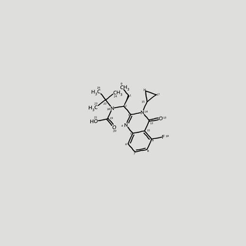 CC[C@@H](c1nc2cccc(F)c2c(=O)n1C1CC1)N(C(=O)O)C(C)(C)C